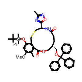 COc1cc(O[Si](C)(C)C(C)(C)C(C)C)c2c(c1C)C(=O)OC[C@@H](COC(c1ccccc1)(c1ccccc1)c1ccccc1)CCC(=O)N[C@H](c1nc(C)no1)CSC2